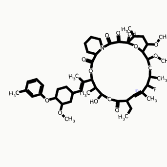 CCC1/C=C(\C)C(F)C(C)CC(OC)C2OC(O)(C(=O)C(=O)N3CCCCC3C(=O)OC(C(C)=CC3CCC(Oc4cccc(C)c4)C(OC)C3)C(C)C(O)CC1=O)C(C)CC2OC